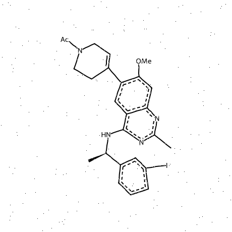 COc1cc2nc(C)nc(N[C@H](C)c3cccc(I)c3)c2cc1C1=CCN(C(C)=O)CC1